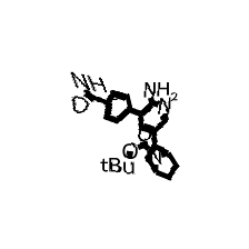 CC(C)(C)OC(=O)N1C2CCC1C(c1cnc(N)c(-c3ccc(C(N)=O)cc3)c1)C2